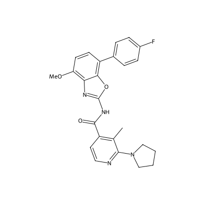 COc1ccc(-c2ccc(F)cc2)c2oc(NC(=O)c3ccnc(N4CCCC4)c3C)nc12